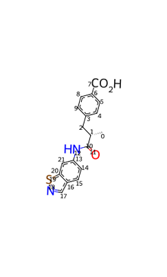 C[C@@H](Cc1ccc(C(=O)O)cc1)C(=O)Nc1ccc2cnsc2c1